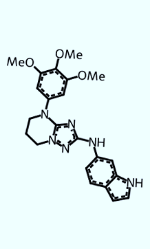 COc1cc(N2CCCn3nc(Nc4ccc5cc[nH]c5c4)nc32)cc(OC)c1OC